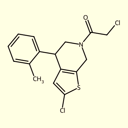 Cc1ccccc1C1CN(C(=O)CCl)Cc2sc(Cl)cc21